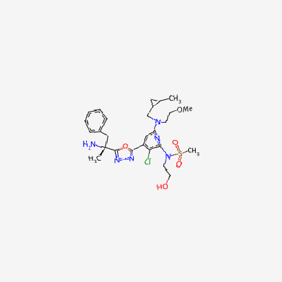 COCCN(CC1CC1C)c1cc(-c2nnc([C@](C)(N)Cc3ccccc3)o2)c(Cl)c(N(CCO)S(C)(=O)=O)n1